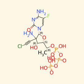 C[C@@H](OP(=O)(O)OP(=O)(O)OP(=O)(O)O)[C@H]1O[C@@H](n2cc(F)c(N)nc2=O)C(N)(C#CCl)[C@H]1O